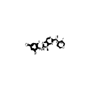 C[C@@H]1COCC[C@H]1Nc1ncc2nc(Nc3c(F)cc(Cl)cc3F)n(C)c2n1